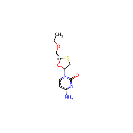 CCOC[C@@H]1OC(n2ccc(N)nc2=O)CS1